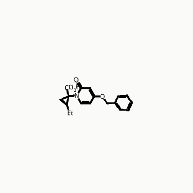 CCC1CC1(C(=O)O)n1ccc(OCc2ccccc2)cc1=O